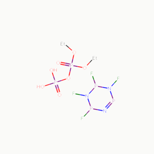 CCOP(=O)(OCC)OP(=O)(O)O.Fn1pnp(F)n(F)p1F